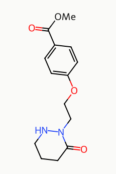 COC(=O)c1ccc(OCCN2NCCCC2=O)cc1